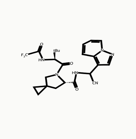 CC(C)(C)[C@H](NC(=O)C(F)(F)F)C(=O)N1CC2(CC2)C[C@H]1C(=O)NC(C#N)c1cnn2ccccc12